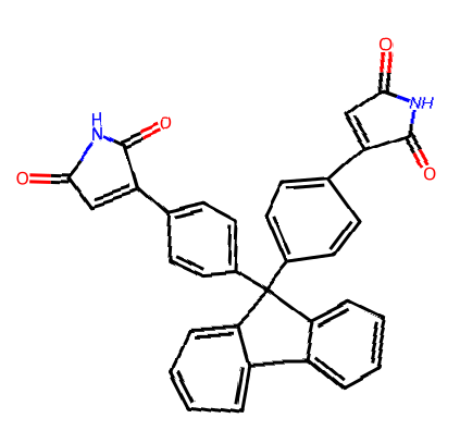 O=C1C=C(c2ccc(C3(c4ccc(C5=CC(=O)NC5=O)cc4)c4ccccc4-c4ccccc43)cc2)C(=O)N1